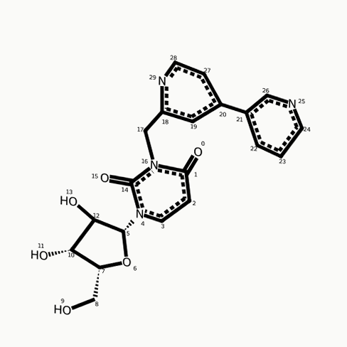 O=c1ccn([C@@H]2O[C@H](CO)[C@H](O)C2O)c(=O)n1Cc1cc(-c2cccnc2)ccn1